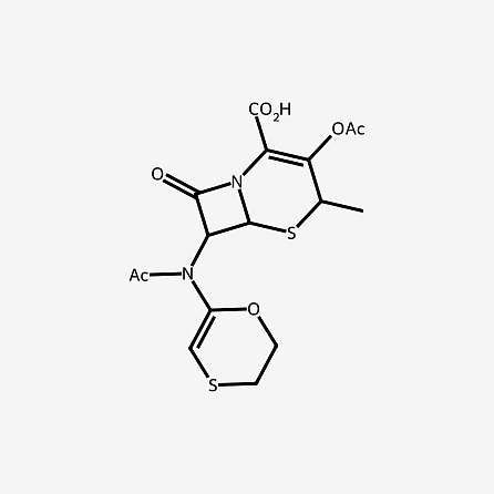 CC(=O)OC1=C(C(=O)O)N2C(=O)C(N(C(C)=O)C3=CSCCO3)C2SC1C